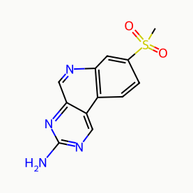 CS(=O)(=O)c1ccc2c(c1)ncc1nc(N)ncc12